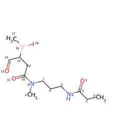 CCC(=O)NCCCN(C)C(=O)CC(C=O)B(C)I